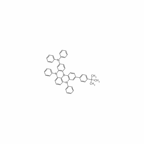 CC(C)(C)c1ccc(-c2ccc3c(c2)N(c2ccccc2)c2cccc4c2B3c2ccc(N(c3ccccc3)c3ccccc3)cc2N4c2ccccc2)cc1